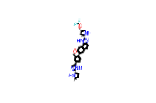 C[C@H]1CC[C@@H](c2ncc(-c3ccc4c(c3)COc3cc5c(ccc6nc([C@@H]7C[C@H](COC(F)F)CN7)[nH]c65)cc3-4)[nH]2)N1